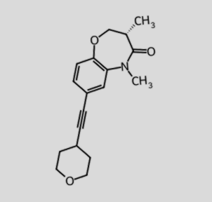 C[C@H]1COc2ccc(C#CC3CCOCC3)cc2N(C)C1=O